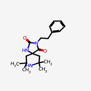 CC1(C)CC2(CC(C)(C)N1)NC(=O)N(CCc1ccccc1)C2=O